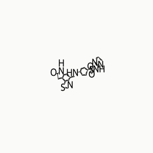 O=C1C=c2c(cc(=CNc3ccc(S(=O)(=O)Nc4ncccn4)cc3)c3ncsc23)N1